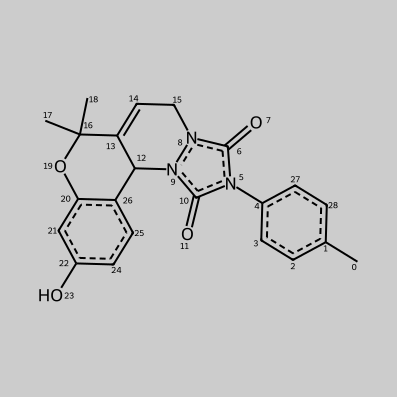 Cc1ccc(-n2c(=O)n3n(c2=O)C2C(=CC3)C(C)(C)Oc3cc(O)ccc32)cc1